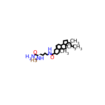 CCC(C)C1CCC2C3CC=C4CC(C(=O)NCCCC[C@H](NS)C(N)=O)CCC4(C)C3CCC12C